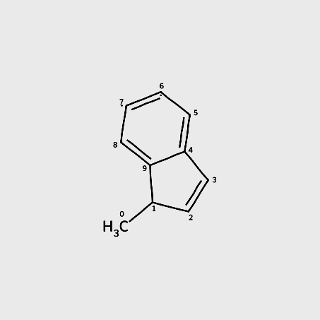 CC1C=Cc2c[c][c]cc21